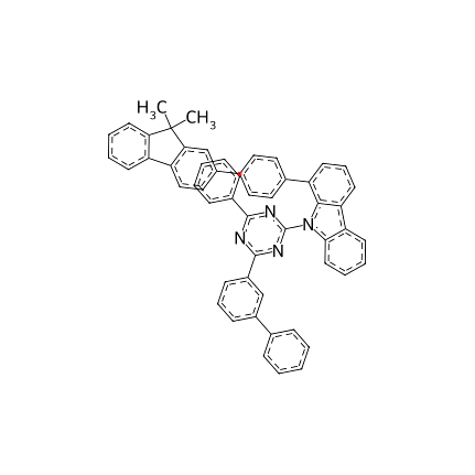 CC1(C)c2ccccc2-c2ccc(-c3ccc(-c4cccc5c6ccccc6n(-c6nc(-c7ccccc7)nc(-c7cccc(-c8ccccc8)c7)n6)c45)cc3)cc21